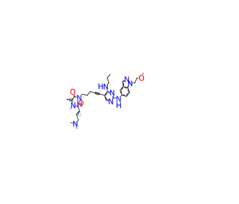 CCCNc1nc(Nc2ccc3c(cnn3CCOC)c2)ncc1C#CCCCNC(=O)[C@H](C)N(C)C(=O)/C=C/CN(C)C